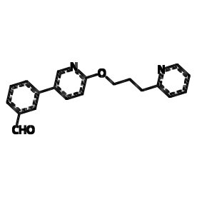 O=Cc1cccc(-c2ccc(OCCCc3ccccn3)nc2)c1